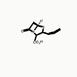 C=C=CC1S[C@@H]2CC(=O)N2C1C(=O)O